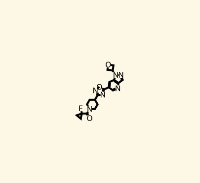 O=C(N1CCC(c2noc(-c3cnc4cnn(C5COC5)c4c3)n2)CC1)C1(F)CC1